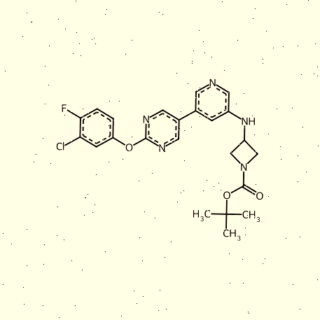 CC(C)(C)OC(=O)N1CC(Nc2cncc(-c3cnc(Oc4ccc(F)c(Cl)c4)nc3)c2)C1